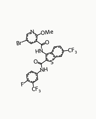 COc1ncc(Br)cc1C(=O)Nc1c(C(=O)Nc2ccc(F)c(C(F)(F)F)c2)sc2cc(C(F)(F)F)ccc12